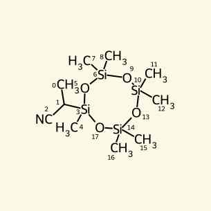 CC(C#N)[Si]1(C)O[Si](C)(C)O[Si](C)(C)O[Si](C)(C)O1